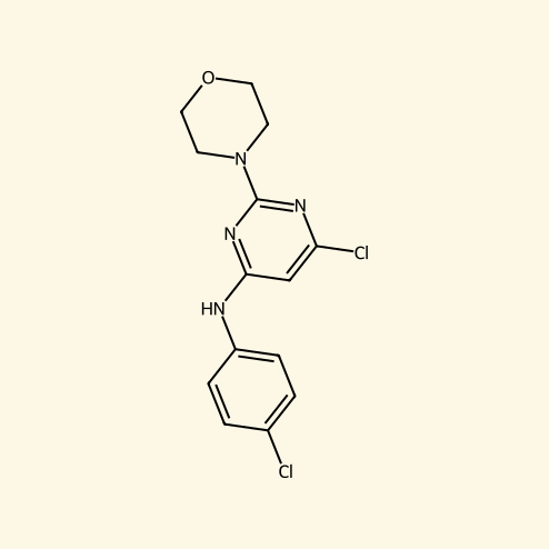 Clc1ccc(Nc2cc(Cl)nc(N3CCOCC3)n2)cc1